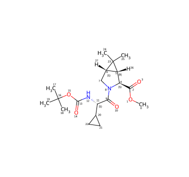 COC(=O)[C@@H]1[C@@H]2[C@H](CN1C(=O)[C@@H](NC(=O)OC(C)(C)C)C1CC1)C2(C)C